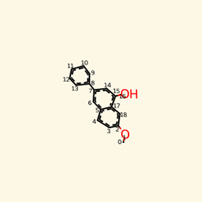 COc1ccc2cc(-c3ccccc3)cc(O)c2c1